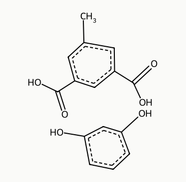 Cc1cc(C(=O)O)cc(C(=O)O)c1.Oc1cccc(O)c1